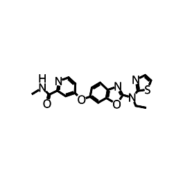 CCN(c1nc2ccc(Oc3ccnc(C(=O)NC)c3)cc2o1)c1nccs1